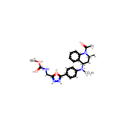 CCC(=O)N1c2ccccc2[C@H](N(C(=O)O)c2ccc(-c3nnc(CNC(=O)OC(C)(C)C)o3)cc2)C[C@@H]1C